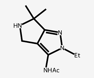 CCn1nc2c(c1NC(C)=O)CNC2(C)C